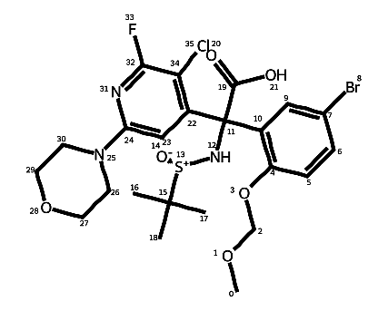 COCOc1ccc(Br)cc1C(N[S@@+]([O-])C(C)(C)C)(C(=O)O)c1cc(N2CCOCC2)nc(F)c1Cl